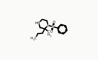 CCCC1(C)CNCCN1S(=O)(=O)c1ccccc1